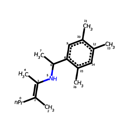 CCC/C(C)=C(\C)NC(C)c1cc(C)c(C)cc1C